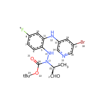 C[C@@H](C=O)N(Nc1ccc(F)cc1Nc1cncc(Br)c1)C(=O)OC(C)(C)C